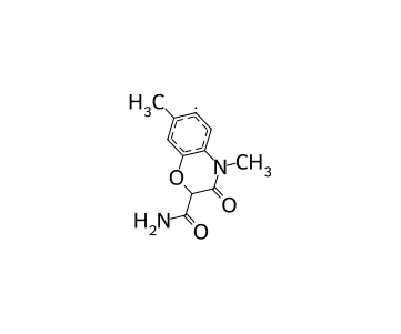 Cc1[c]cc2c(c1)OC(C(N)=O)C(=O)N2C